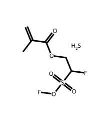 C=C(C)C(=O)OCC(F)S(=O)(=O)OF.S